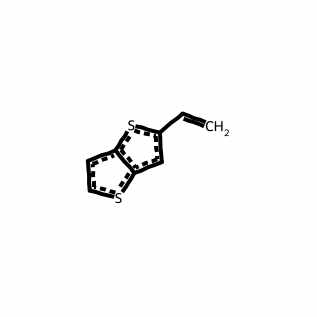 C=Cc1cc2sccc2s1